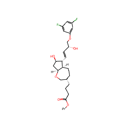 CC(C)OC(=O)CCC[C@H]1CC[C@@H]2[C@@H](/C=C/[C@@H](O)COc3cc(F)cc(F)c3)[C@H](O)C[C@@H]2OC1